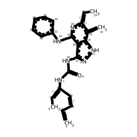 C=C/C=C\C(=C/C)NC(=O)Nc1n[nH]c2c(=C)/c(=C\C)nc(Nc3ccccc3)c12